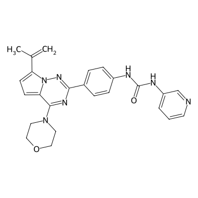 C=C(C)c1ccc2c(N3CCOCC3)nc(-c3ccc(NC(=O)Nc4cccnc4)cc3)nn12